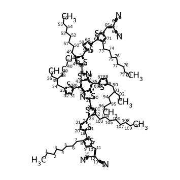 CCCCCCCCc1cc(C=C(C#N)C#N)sc1-c1ccc(-c2sc(-c3nc4c(-c5ccc(CC(CC)CCCC)s5)c5sc(-c6cc(CCCCCCCC)c(-c7ccc(-c8sc(C=C(C#N)C#N)cc8CCCCCCCC)s7)s6)nc5c(-c5ccc(CC(CC)CCCC)s5)c4s3)cc2CCCCCCCC)s1